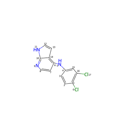 Clc1ccc(Nc2ccnc3[nH]ccc23)cc1Cl